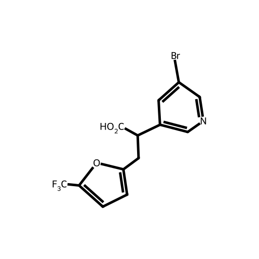 O=C(O)C(Cc1ccc(C(F)(F)F)o1)c1cncc(Br)c1